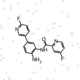 Nc1ccc(-c2ccc(F)nc2)cc1NC(=O)c1cc(F)ccn1